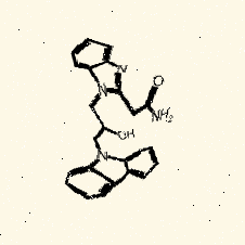 NC(=O)Cc1nc2ccccc2n1CC(O)Cn1c2ccccc2c2ccccc21